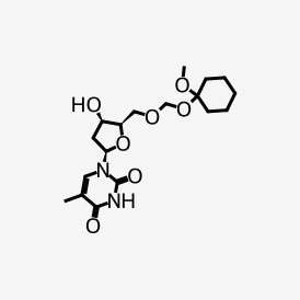 COC1(OCOC[C@H]2O[C@@H](n3cc(C)c(=O)[nH]c3=O)C[C@H]2O)CCCCC1